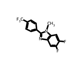 Cn1c(-c2ccc(C(F)(F)F)cc2)nc2cc(F)c(F)cc21